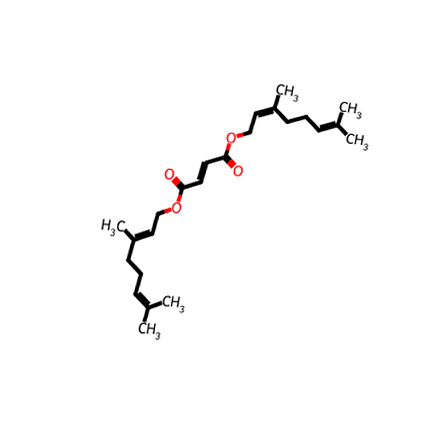 CC(C)=CCCC(C)=CCOC(=O)C=CC(=O)OCC=C(C)CCC=C(C)C